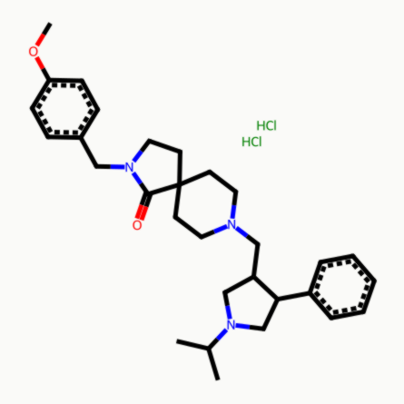 COc1ccc(CN2CCC3(CCN(CC4CN(C(C)C)CC4c4ccccc4)CC3)C2=O)cc1.Cl.Cl